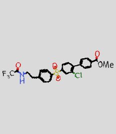 COC(=O)c1ccc(-c2ccc(S(=O)(=O)c3ccc(CCNC(=O)C(F)(F)F)cc3)cc2Cl)cc1